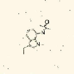 CCc1cn(C)c2c(N=S(C)(C)=O)cccc12